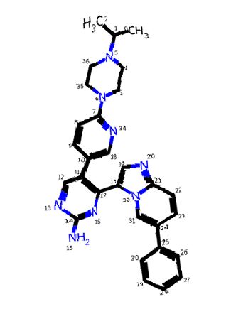 CC(C)N1CCN(c2ccc(-c3cnc(N)nc3-c3cnc4ccc(-c5ccccc5)cn34)cn2)CC1